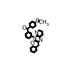 COc1ccc(C(=O)c2cccc(-n3c(=O)c(Cc4ccccc4)nc4cccnc43)c2)cc1